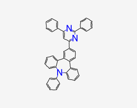 c1ccc(-c2cc(-c3ccc4c(c3)-c3ccccc3N(c3ccccc3)c3ccccc3-4)nc(-c3ccccc3)n2)cc1